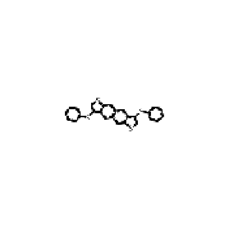 c1ccc(Sc2csc3cc4cc5c(Sc6ccccc6)csc5cc4cc23)cc1